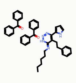 CCCCCCN=c1[nH]nnc(-c2ccc[nH]2)c1CCc1ccccc1.O=C(c1ccccc1)c1ccccc1.O=C(c1ccccc1)c1ccccc1